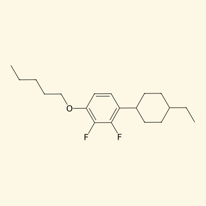 CCCCCOc1ccc(C2CCC(CC)CC2)c(F)c1F